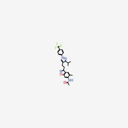 CC(=O)Nc1cc2onc(CCc3cn(-c4ccc(C(F)(F)F)cc4)nc3C(C)C)c2cc1C